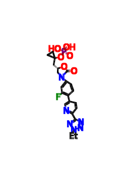 CCn1nnc(-c2ccc(-c3ccc(N4C[C@H](CC5(OP(=O)(O)O)CC5)OC4=O)cc3F)cn2)n1